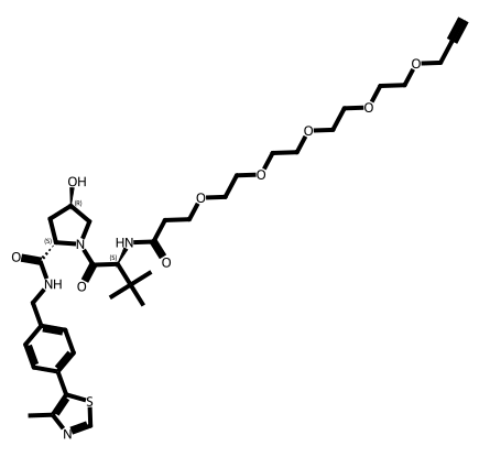 C#CCOCCOCCOCCOCCOCCC(=O)N[C@H](C(=O)N1C[C@H](O)C[C@H]1C(=O)NCc1ccc(-c2scnc2C)cc1)C(C)(C)C